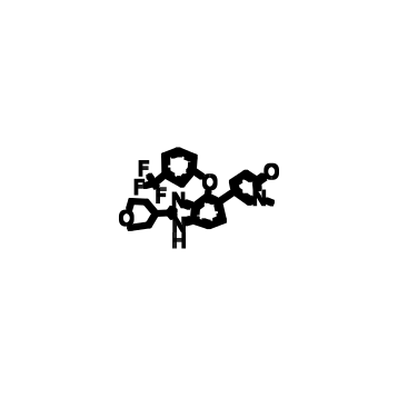 Cn1cc(-c2ccc3[nH]c(C4CCOCC4)nc3c2Oc2cccc(C(F)(F)F)c2)ccc1=O